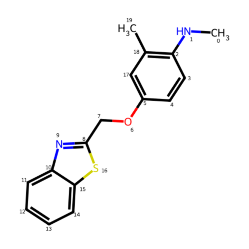 CNc1ccc(OCc2nc3ccccc3s2)cc1C